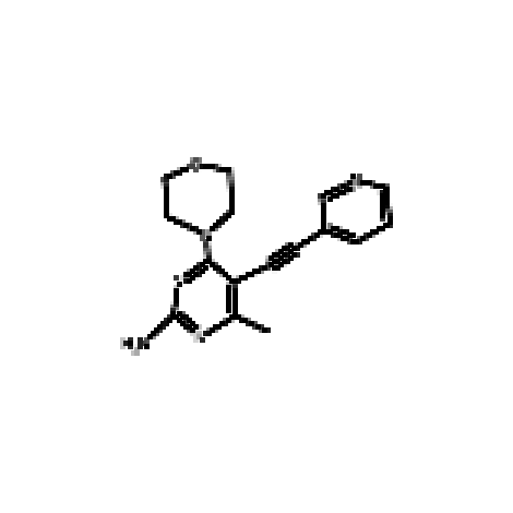 Cc1nc(N)nc(N2CCOCC2)c1C#Cc1cccnc1